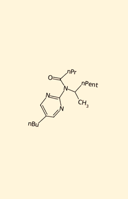 CCCCCC(C)N(C(=O)CCC)c1ncc(CCCC)cn1